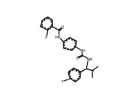 CC(C)C(NC(=S)Nc1ccc(NC(=O)c2ccccc2F)cc1)c1ccc(F)cc1